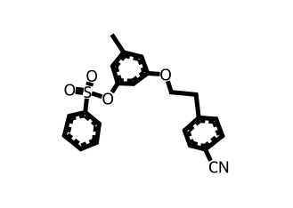 Cc1cc(OCCc2ccc(C#N)cc2)cc(OS(=O)(=O)c2ccccc2)c1